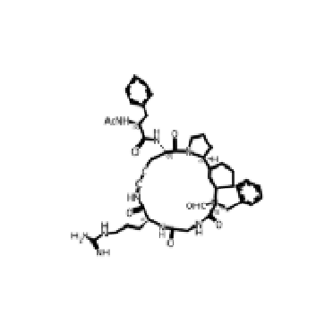 CC(=O)N[C@@H](Cc1ccccc1)C(=O)N[C@H]1CCCNC(=O)[C@H](CCCNC(=N)N)NC(=O)CNC(=O)[C@@H](Cc2ccccc2)C2(N(C)C=O)CCCC(C2)[C@@H]2CCCN2C1=O